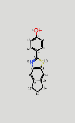 Oc1ccc(-c2nc3cc4c(cc3s2)CCC4)cc1